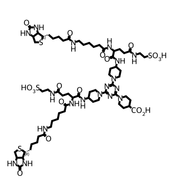 O=C(CCCC[C@@H]1SCC2NC(=O)NC21)NCCCCCC(=O)NC(CCC(=O)NCCS(=O)(=O)O)C(=O)NC1CCN(c2nc(N3CCC(NC(=O)C(CCC(=O)NCCS(=O)(=O)O)NC(=O)CCCCCNC(=O)CCCC[C@H]4SCC5NC(=O)NC54)CC3)nc(N3CCC(C(=O)O)CC3)n2)CC1